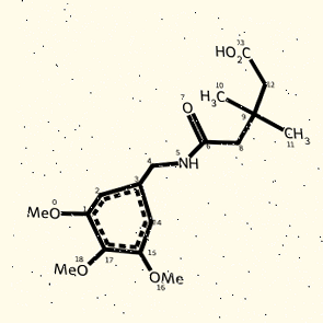 COc1cc(CNC(=O)CC(C)(C)CC(=O)O)cc(OC)c1OC